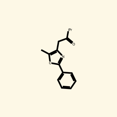 Cc1oc(-c2ccccc2)nc1CC(=O)C(C)C